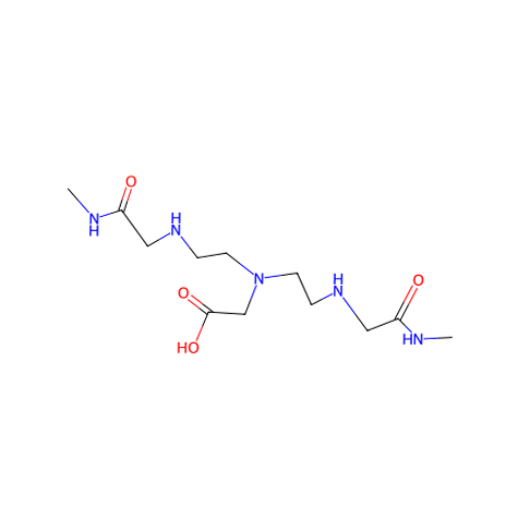 CNC(=O)CNCCN(CCNCC(=O)NC)CC(=O)O